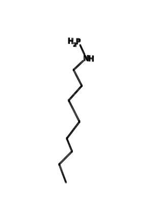 CCCCCCCCNP